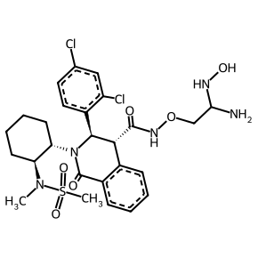 CN([C@H]1CCCC[C@@H]1N1C(=O)c2ccccc2[C@@H](C(=O)NOCC(N)NO)[C@@H]1c1ccc(Cl)cc1Cl)S(C)(=O)=O